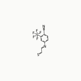 N#Cc1ccc(N=CC=S)cc1S(F)(F)(F)(F)F